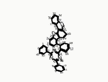 c1ccc(-c2nc(-c3ccccc3)nc(-c3ccccc3-c3cccc4oc5c(ccc6oc7ccccc7c65)c34)n2)cc1